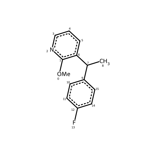 COc1ncccc1C(C)c1ccc(F)cc1